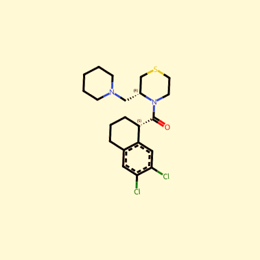 O=C([C@H]1CCCc2cc(Cl)c(Cl)cc21)N1CCSC[C@H]1CN1CCCCC1